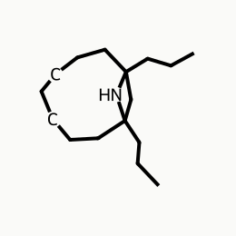 CCCC12CCCCCCCC(CCC)(C1)N2